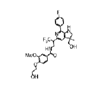 COc1cc(C(=O)NC[C@H](c2cc3c(c(-c4ccc(F)cc4)n2)NC[C@]3(C)CO)C(F)(F)F)ccc1OCCO